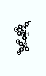 CCc1ccc(Nc2cccc3c2C(=O)c2c(Nc4ccc(CCOC(c5ccccc5)(c5ccc(OC)cc5)c5ccc(OC)cc5)cc4)cccc2C3=O)cc1